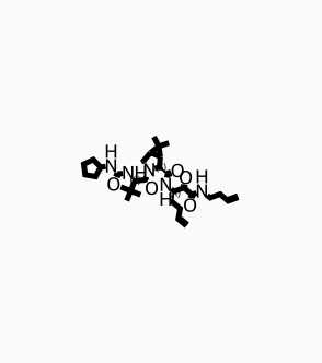 C=CCCNC(=O)C(=O)[C@@H](CCC=C)NC(=O)[C@@H]1C2C(CN1C(=O)[C@@H](NC(=O)NC1CCCC1)C(C)(C)C)C2(C)C